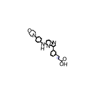 O=C(O)/C=C/c1cccc(-c2cnn3ccc(Nc4ccc(N5CCOCC5)cc4)nc23)c1